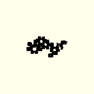 CC(C)N(C)Cc1cnc(Cl)nc1Oc1ccc2c(ccc3sc4c(c32)NCCNC4=O)n1